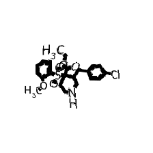 CCOC(=O)C1(S(=O)(=O)c2ccccc2OC)CCNCC1Cc1ccc(Cl)cc1